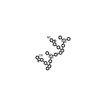 CC1(C)c2cc(C#N)ccc2-c2ccc(-c3ccc(-c4c(-c5ccc(-c6nc(-c7ccccc7)nc(-c7ccccc7)n6)cc5)ccc5ccc(-c6ccc(-c7nc(-c8ccccc8)nc(-c8ccc(-c9ccc%10ccccc%10c9-c9ccc(-c%10ccc%11c(c%10)C(C)(C)c%10cccc(C#N)c%10-%11)cc9)cc8)n7)cc6)cc45)cc3)cc21